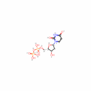 O=c1ccn([C@H]2C[C@@H](O)[C@H](CO[P@@](=O)(O)OP(=O)(O)O)O2)c(=O)[nH]1